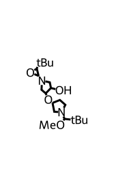 COC(N1CCC(OC2CN(C3OC3C(C)(C)C)CC2O)C1)C(C)(C)C